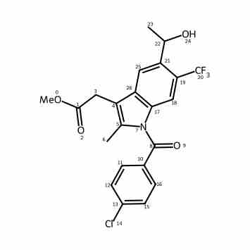 COC(=O)Cc1c(C)n(C(=O)c2ccc(Cl)cc2)c2cc(C(F)(F)F)c(C(C)O)cc12